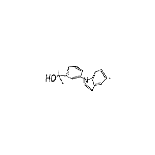 CC(C)(O)c1cccc(-n2ccc3c[c]ccc32)c1